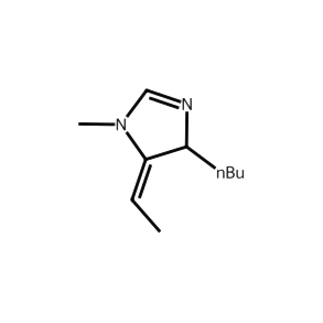 C/C=C1\C(CCCC)N=CN1C